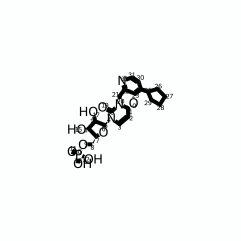 O=c1ccn([C@@H]2O[C@H](COP(=O)(O)O)[C@H](O)C2O)c(=O)n1Cc1cc(C2CCCC2)ccn1